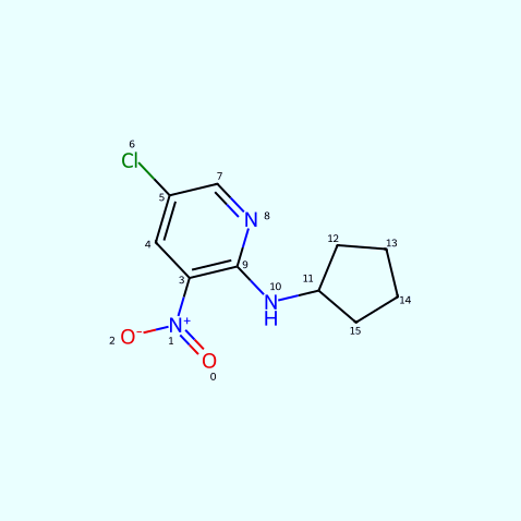 O=[N+]([O-])c1cc(Cl)cnc1NC1CCCC1